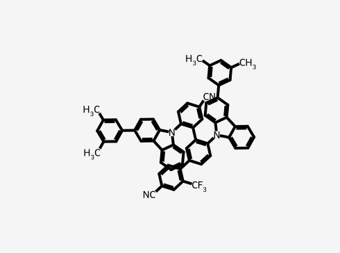 Cc1cc(C)cc(-c2ccc3c(c2)c2ccccc2n3-c2ccc(C#N)cc2-c2cc(-c3ccc(C#N)cc3C(F)(F)F)ccc2-n2c3ccccc3c3cc(-c4cc(C)cc(C)c4)ccc32)c1